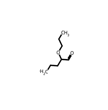 [CH2]CCC(C=O)OCCC